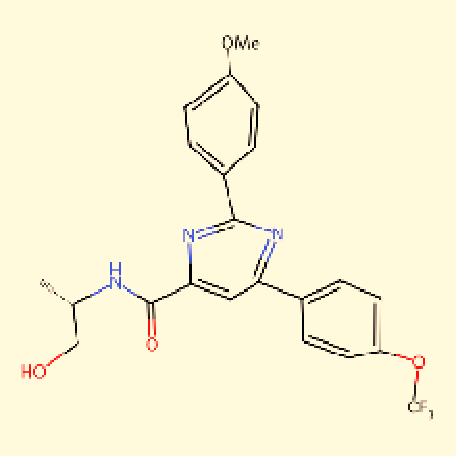 COc1ccc(-c2nc(C(=O)N[C@@H](C)CO)cc(-c3ccc(OC(F)(F)F)cc3)n2)cc1